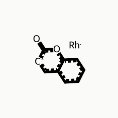 O=c1[c-]cc2ccccc2o1.[Rh]